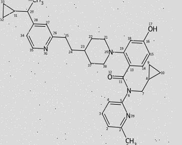 Cc1cccc(N(CC2CC2)C(=O)c2ccc(O)cc2N2CCC(CCc3cc(C(C)C4CC4)ccn3)CC2)n1